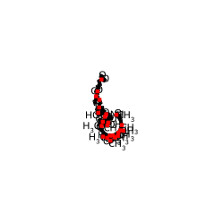 CC(=O)O[C@H]1[C@H](C)[C@H](O)[C@H](C)[C@@H](O)[C@@H](C)/C=C/C=C(/C)C(=O)Nc2c3oc4cc(N5CCN(CCC(=O)OCCCC(C=O)C=O)CC5)cc(O)c4nc-3c3c4c(c(C)c(O)c3c2=O)O[C@](C)(O/C=C/[C@H](C)[C@H]1C)C4=O